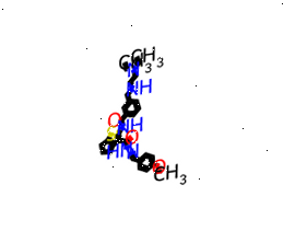 CCN(CC)CCNCc1cccc(C(=O)Nc2sc3c(c2C(=O)NN=Cc2ccc(OC)cc2)CCC3)c1